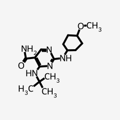 COC1CCC(Nc2ncc(C(N)=O)c(NC(C)(C)C)n2)CC1